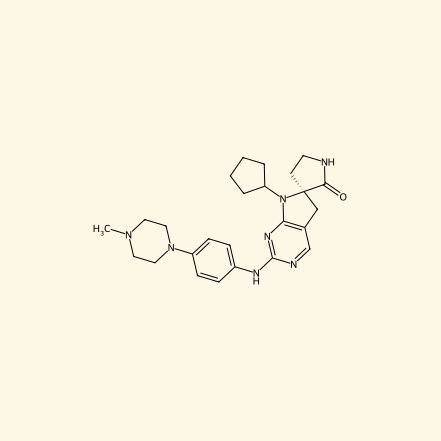 CN1CCN(c2ccc(Nc3ncc4c(n3)N(C3CCCC3)[C@]3(CCNC3=O)C4)cc2)CC1